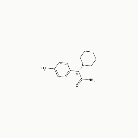 Cc1ccc([C@@H](C(N)=O)N2CCCCC2)cc1